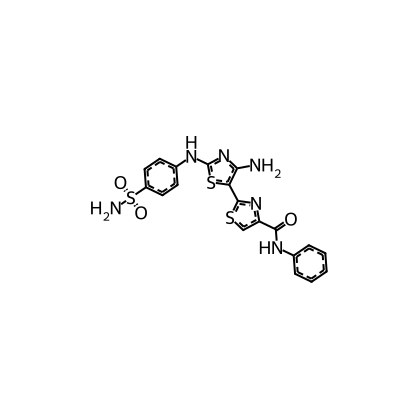 Nc1nc(Nc2ccc(S(N)(=O)=O)cc2)sc1-c1nc(C(=O)Nc2ccccc2)cs1